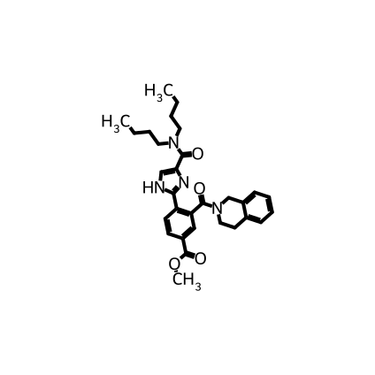 CCCCN(CCCC)C(=O)c1c[nH]c(-c2ccc(C(=O)OC)cc2C(=O)N2CCc3ccccc3C2)n1